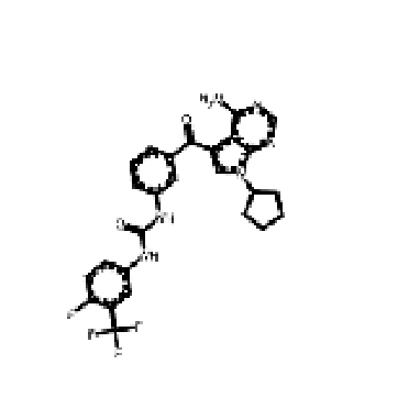 Nc1ncnc2c1c(C(=O)c1cccc(NC(=O)Nc3ccc(F)c(C(F)(F)F)c3)c1)cn2C1CCCC1